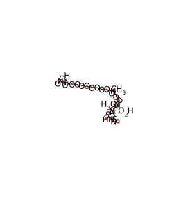 Cc1c(-c2ccc(-c3ccc4c(c3)C(C(=O)Nc3nc5ccccc5s3)CCC4)nc2C(=O)O)cnn1CC12CC3CC(C1)CC(OCCCN(C)C(=O)CCOCCOCCOCCOCCOCCOCCOCCOCCNC(=O)CCN1C(=O)C=CC1=O)(C3)C2